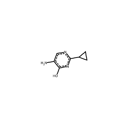 Nc1cnc(C2CC2)nc1O